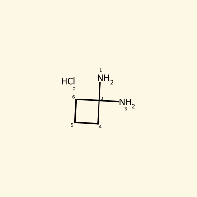 Cl.NC1(N)CCC1